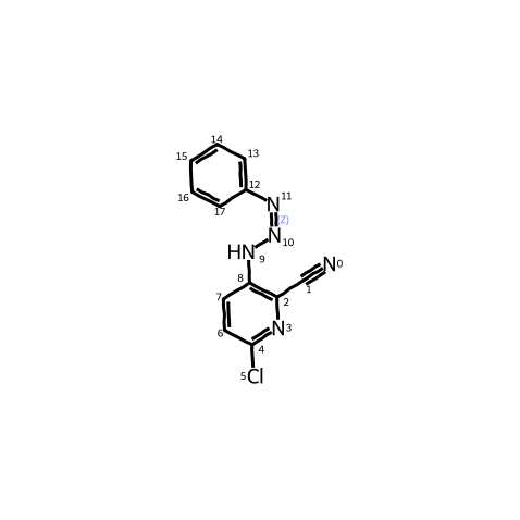 N#Cc1nc(Cl)ccc1N/N=N\c1ccccc1